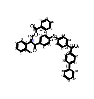 Cc1ccccc1/C(=N/OC(=O)c1ccccc1)C(=O)c1ccc(Sc2ccc(C(=O)c3ccc(-c4ccccc4)cc3)cc2)cc1